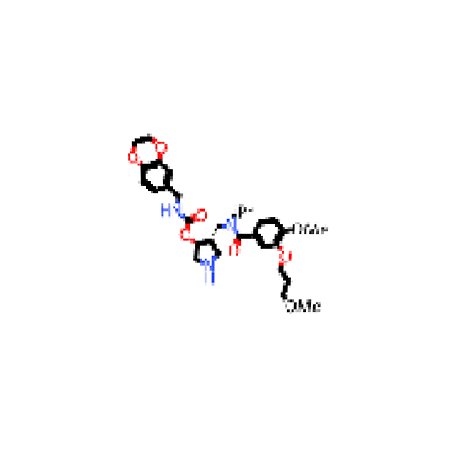 COCCCOc1cc(C(=O)N(C[C@@H]2CNC[C@H]2OC(=O)NCc2ccc3c(c2)OCCO3)C(C)C)ccc1OC